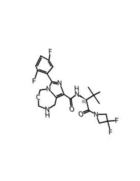 CC(C)(C)[C@H](NC(=O)c1nc(-c2cc(F)ccc2F)n2c1CNCCC2)C(=O)N1CC(F)(F)C1